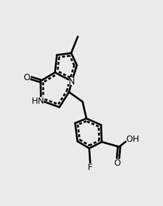 Cc1cc2c(=O)[nH]cc(Cc3ccc(F)c(C(=O)O)c3)n2c1